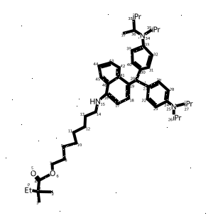 CCC(C)(C)C(=O)OCCCCCCCCNc1ccc(C(c2ccc(N(C(C)C)C(C)C)cc2)c2ccc(N(C(C)C)C(C)C(C)C)cc2)c2ccccc12